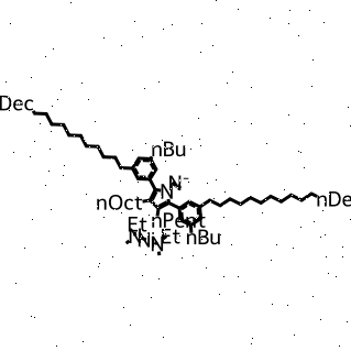 CCCCCCCCCCCCCCCCCCCCCc1cc(CCCC)cc(C2=C(CCCCC)C(CCCCCCCC)=C(c3cc(CCCC)cc(CCCCCCCCCCCCCCCCCCCCC)c3)[N+]2=[N-])c1.CC[N](C)[Ni][N](C)CC